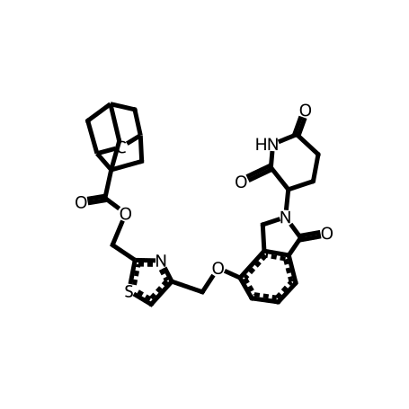 O=C1CCC(N2Cc3c(OCc4csc(COC(=O)C56CC7CC(CC5C7)C6)n4)cccc3C2=O)C(=O)N1